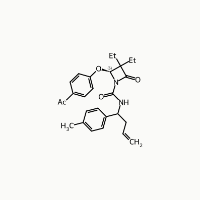 C=CCC(NC(=O)N1C(=O)C(CC)(CC)[C@@H]1Oc1ccc(C(C)=O)cc1)c1ccc(C)cc1